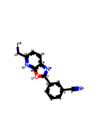 N#Cc1cccc(-c2nc3ccc(CI)nc3o2)c1